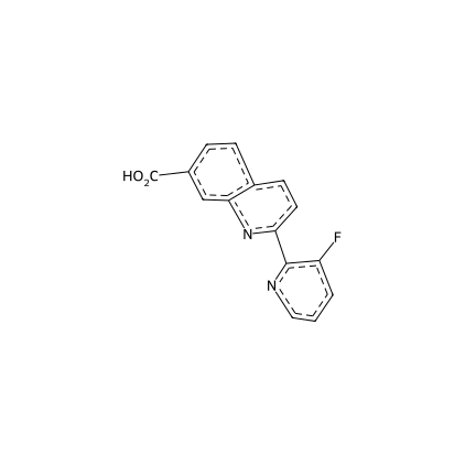 O=C(O)c1ccc2ccc(-c3ncccc3F)nc2c1